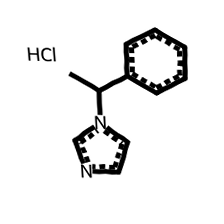 CC(c1ccccc1)n1ccnc1.Cl